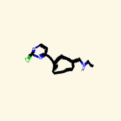 CCNCc1cccc(-c2ccnc(Cl)n2)c1